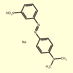 CN(C)c1ccc(N=Nc2cccc(S(=O)(=O)O)c2)cc1.[Na]